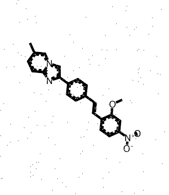 COc1cc([N+](=O)[O-])ccc1C=Cc1ccc(-c2cn3cc(C)ccc3n2)cc1